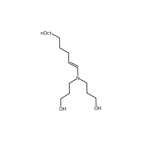 CCCCCCCCCCCC=CN(CCCO)CCCO